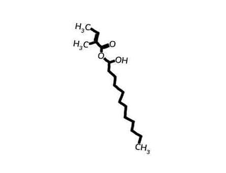 C/C=C(\C)C(=O)OC(O)CCCCCCCCCCC